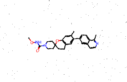 CONC(=O)N1CCC2(CCc3cc(-c4ccc5c(C)nccc5c4)c(C)cc3O2)CC1